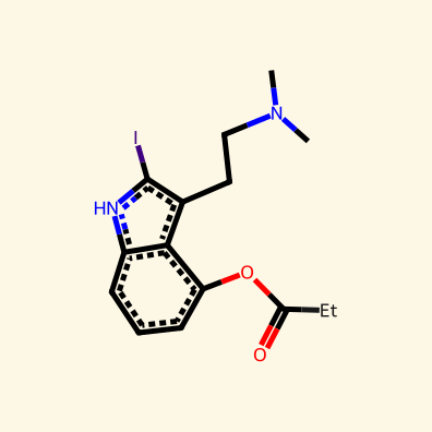 CCC(=O)Oc1cccc2[nH]c(I)c(CCN(C)C)c12